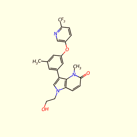 Cc1cc(Oc2ccc(C(F)(F)F)nc2)cc(-c2cn(CCO)c3ccc(=O)n(C)c23)c1